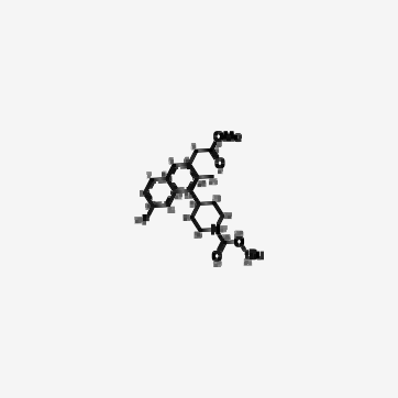 COC(=O)Cc1cc2ccc(F)cc2c(C2CCN(C(=O)OC(C)(C)C)CC2)c1C